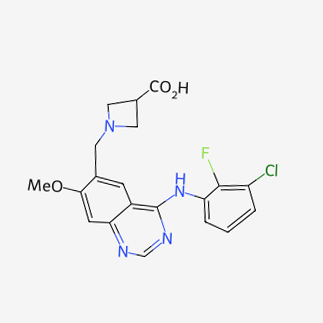 COc1cc2ncnc(Nc3cccc(Cl)c3F)c2cc1CN1CC(C(=O)O)C1